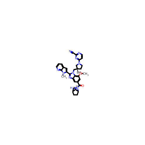 B[C@]1(Cn2c(-c3cc4cccnc4n3C)nc3cc(C(=O)N4CC5CCC4[C@@H]5N)cc(OC)c32)CCN(c2ccnc(C#N)n2)C1